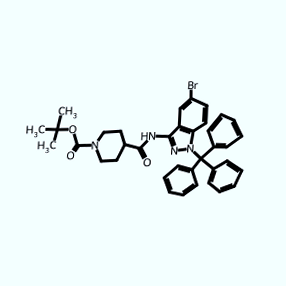 CC(C)(C)OC(=O)N1CCC(C(=O)Nc2nn(C(c3ccccc3)(c3ccccc3)c3ccccc3)c3ccc(Br)cc23)CC1